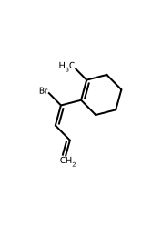 C=C/C=C(/Br)C1=C(C)CCCC1